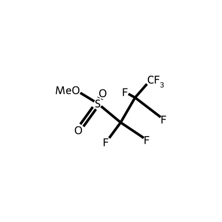 [CH2]OS(=O)(=O)C(F)(F)C(F)(F)C(F)(F)F